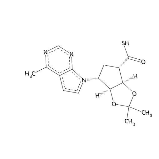 Cc1ncnc2c1ccn2[C@@H]1C[C@H](C(=O)S)[C@H]2OC(C)(C)O[C@H]21